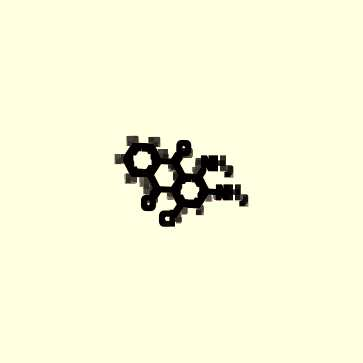 Nc1cc(Cl)c2c(c1N)C(=O)c1ccccc1C2=O